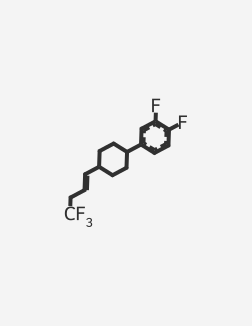 Fc1ccc(C2CCC(/C=C/CC(F)(F)F)CC2)cc1F